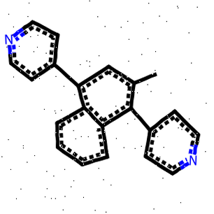 Cc1cc(-c2ccncc2)c2ccccc2c1-c1ccncc1